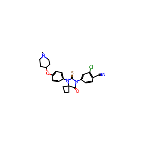 CN1CCC(Oc2ccc(N3C(=S)N(c4ccc(C#N)c(Cl)c4)C(=O)C34CCC4)cc2)CC1